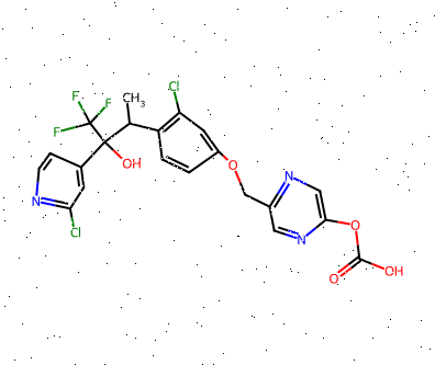 CC(c1ccc(OCc2cnc(OC(=O)O)cn2)cc1Cl)C(O)(c1ccnc(Cl)c1)C(F)(F)F